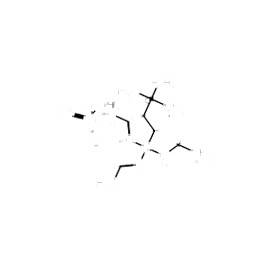 CCO[Si](CCC(C)(C)C)(OCC)OCC.O=[SH](O)=S